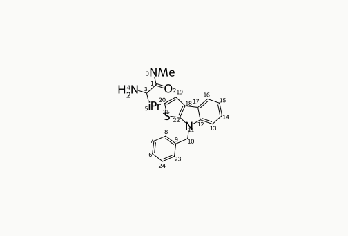 CNC(=O)C(N)C(C)C.c1ccc(Cn2c3ccccc3c3ccsc32)cc1